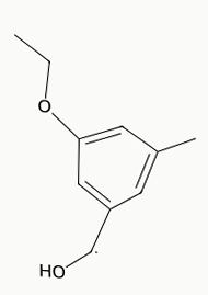 CCOc1cc(C)cc([CH]O)c1